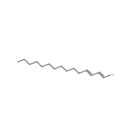 [CH2]C=CC=CCCCCCCCCCCC